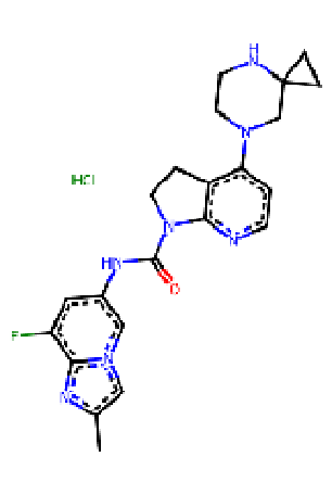 Cc1cn2cc(NC(=O)N3CCc4c(N5CCNC6(CC6)C5)ccnc43)cc(F)c2n1.Cl